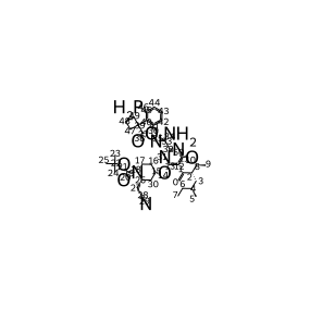 C=C[C@@H](C[C@@H](C)CC)[C@H](C)Oc1cc(O[C@H]2CCN(C(=O)OC(C)(C)C)[C@H](CC#N)C2)nc(/C(N)=N/OC(=O)C2(c3ccccc3P)CCC2)n1